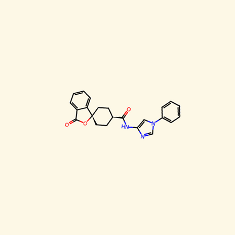 O=C1O[C@]2(CC[C@H](C(=O)Nc3cn(-c4ccccc4)cn3)CC2)c2ccccc21